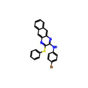 Brc1ccc(Nc2nc3cc4ccccc4cc3nc2Sc2ccccc2)cc1